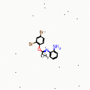 C/C(=N\c1ccccc1N)Oc1ccc(Br)cc1Br